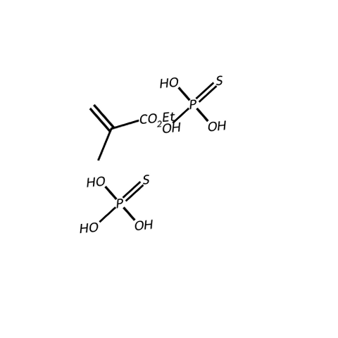 C=C(C)C(=O)OCC.OP(O)(O)=S.OP(O)(O)=S